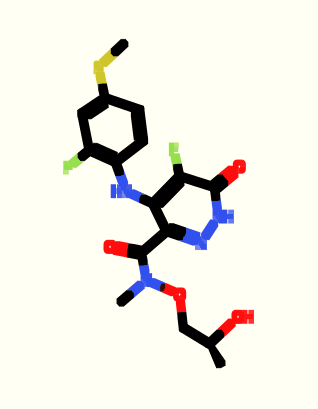 CSc1ccc(Nc2c(C(=O)N(C)OC[C@H](C)O)n[nH]c(=O)c2F)c(F)c1